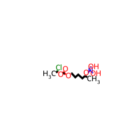 CC(Cl)OC(=O)OCCCCC(C)ON(O)O